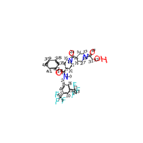 CN(Cc1cc(C(F)(F)F)cc(C(F)(F)F)c1)C(=O)[C@@H]1CCN(C(=O)C2CCN(C(=O)CO)CC2)C[C@H]1c1ccccc1